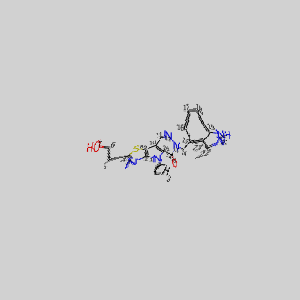 Cn1c2nc(CCO)sc2c2cnn(Cc3cccc4[nH]ncc34)c(=O)c21